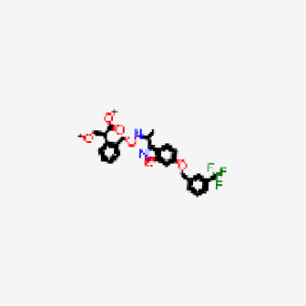 CO/C=C(/C(=O)OC)c1ccccc1CO/N=C(/C)c1noc2cc(OCc3cccc(C(F)(F)F)c3)ccc12